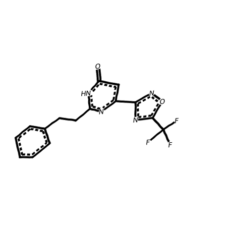 O=c1cc(-c2noc(C(F)(F)F)n2)nc(CCc2ccccc2)[nH]1